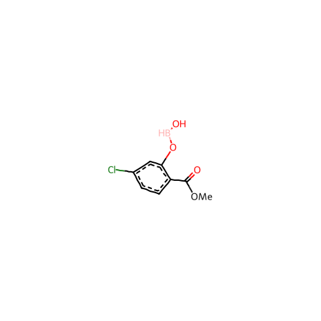 COC(=O)c1ccc(Cl)cc1OBO